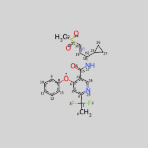 CC(F)(F)c1cc(Oc2ccccc2)c(C(=O)N[C@H](/C=C/S(C)(=O)=O)C2CC2)cn1